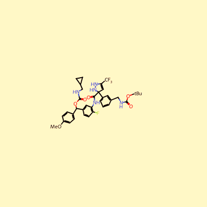 COc1ccc(C(OC(=O)NCC2CC2)c2ccc(F)c(NC(=O)C3(c4cccc(CNC(=O)OC(C)(C)C)c4)C=C(C(F)(F)F)NN3)c2)cc1